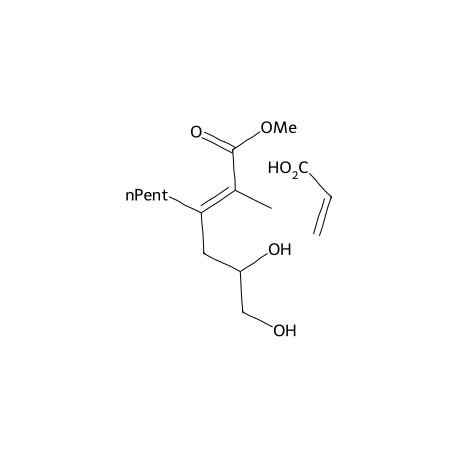 C=CC(=O)O.CCCCCC(CC(O)CO)=C(C)C(=O)OC